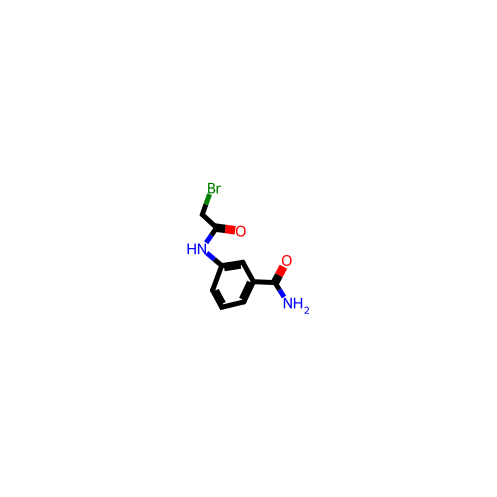 NC(=O)c1cccc(NC(=O)CBr)c1